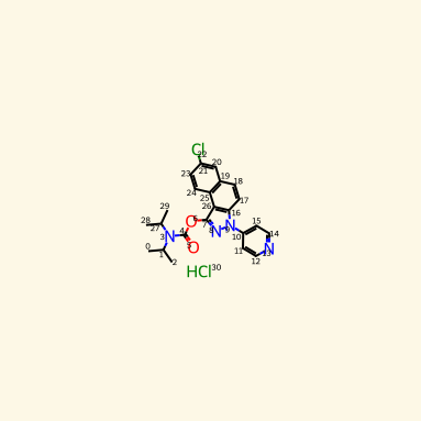 CC(C)N(C(=O)Oc1nn(-c2ccncc2)c2ccc3cc(Cl)ccc3c12)C(C)C.Cl